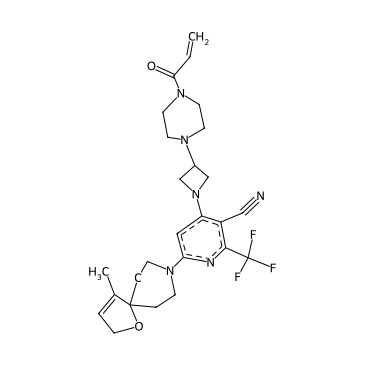 C=CC(=O)N1CCN(C2CN(c3cc(N4CCC5(CC4)OCC=C5C)nc(C(F)(F)F)c3C#N)C2)CC1